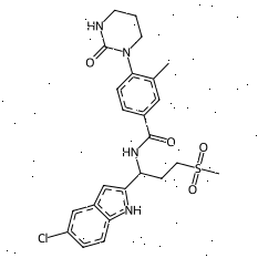 Cc1cc(C(=O)NC(CCS(C)(=O)=O)c2cc3cc(Cl)ccc3[nH]2)ccc1N1CCCNC1=O